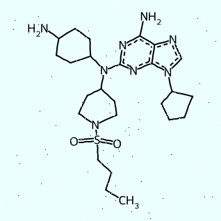 CCCCS(=O)(=O)N1CCC(N(c2nc(N)c3ncn(C4CCCC4)c3n2)C2CCC(N)CC2)CC1